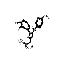 Cc1ccc(S(=O)(=O)c2cc(CN(C)C(=O)O)nn2-c2cccc(F)c2F)cn1